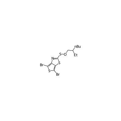 CCCCC(CC)COSc1nc2c(Br)sc(Br)c2s1